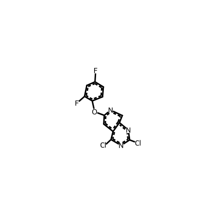 Fc1ccc(Oc2cc3c(Cl)nc(Cl)nc3cn2)c(F)c1